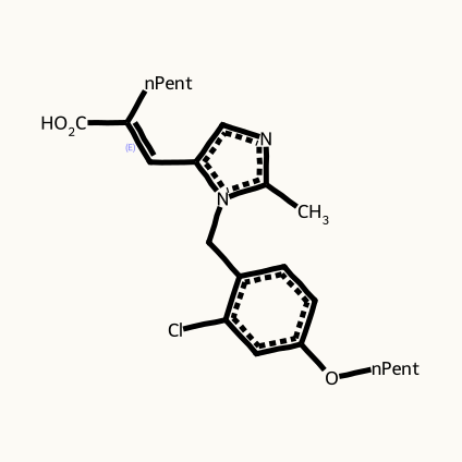 CCCCCOc1ccc(Cn2c(/C=C(\CCCCC)C(=O)O)cnc2C)c(Cl)c1